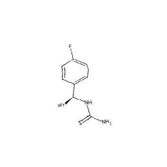 CCC[C@H](NC(N)=S)c1ccc(F)cc1